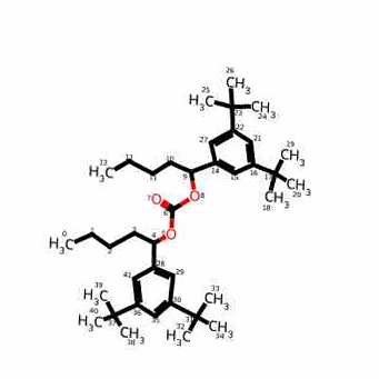 CCCCC(OC(=O)OC(CCCC)c1cc(C(C)(C)C)cc(C(C)(C)C)c1)c1cc(C(C)(C)C)cc(C(C)(C)C)c1